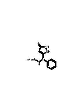 CCCCCNN(c1ccccc1)c1cc(=O)[nH][nH]1